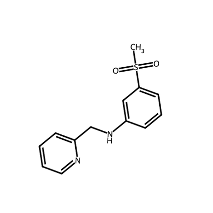 CS(=O)(=O)c1cccc(NCc2ccccn2)c1